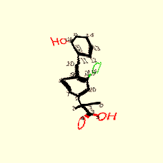 CC(C)(C(=O)O)c1ccc(C[C@@H]2CCCC[C@H]2O)c(Cl)c1